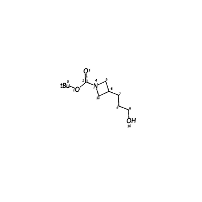 CC(C)(C)OC(=O)N1CC(CCCO)C1